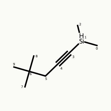 C[SiH](C)C#CCC(C)(C)C